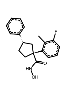 Cc1c(F)cccc1[C@@]1(C(=O)NO)CC[C@H](c2ccccc2)C1